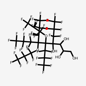 OCC(O)C(O)C(O)(C(F)(F)C(F)(F)C(F)(F)F)C(OC(F)(F)C(F)(F)C(F)(F)F)(C(F)(F)C(F)(F)C(F)(F)F)C(OC(F)(F)C(F)(F)C(F)(F)F)(C(F)(F)C(F)(F)C(F)(F)F)C(F)(F)C(F)(F)C(F)(F)F